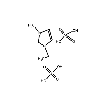 CCN1C=CN(C)C1.O=S(=O)(O)O.O=S(=O)(O)O